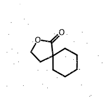 O=C1OCCC12CC[CH]CC2